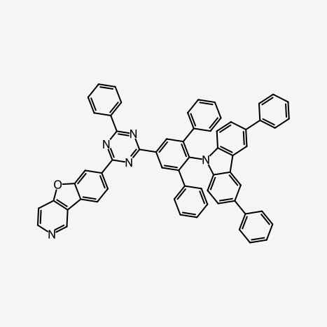 c1ccc(-c2ccc3c(c2)c2cc(-c4ccccc4)ccc2n3-c2c(-c3ccccc3)cc(-c3nc(-c4ccccc4)nc(-c4ccc5c(c4)oc4ccncc45)n3)cc2-c2ccccc2)cc1